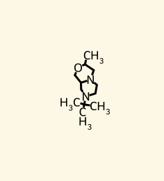 CC1CN2CCN(C(C)(C)C)CC2CO1